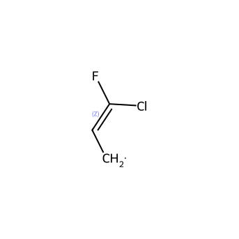 [CH2]/C=C(/F)Cl